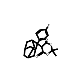 CC1(C)OC(=O)C(C2(c3ccc(F)cc3)C3CC4CC(C3)CC2C4)C(=O)O1